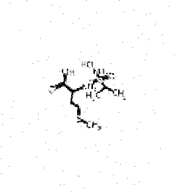 CC(C)S(N)(=O)=O.CSCCC(N)C(=O)O.Cl